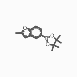 Cc1cc2cc(B3OC(C)(C)C(C)(C)O3)ccc2o1